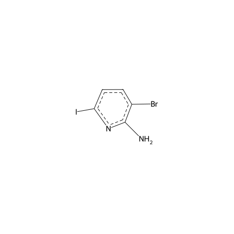 Nc1nc(I)ccc1Br